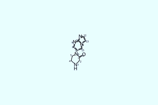 O=C1CNCCN1c1cnc2nccn2c1